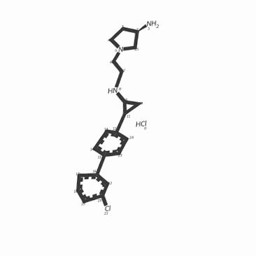 Cl.N[C@@H]1CCN(CCNC2CC2c2ccc(-c3cccc(Cl)c3)cc2)C1